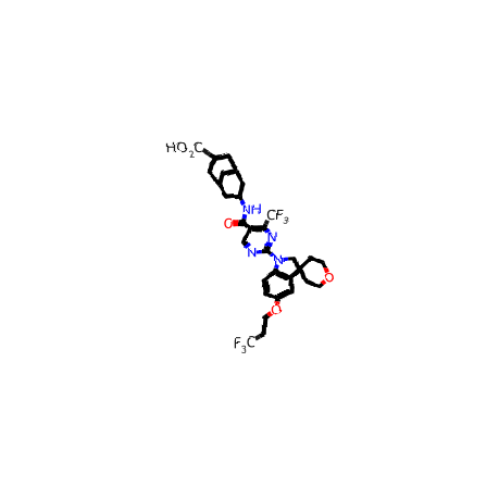 O=C(NC1CC2CC(C1)CC(C(=O)O)C2)c1cnc(N2CC3(CCOCC3)c3cc(OCCC(F)(F)F)ccc32)nc1C(F)(F)F